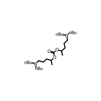 CCCCN(CCCC)CCCC(C)OC(=O)OC(C)CCCN(CCCC)CCCC